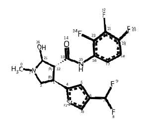 CN1C[C@H](c2cc(C(F)F)cs2)[C@@H](C(=O)Nc2ccc(F)c(F)c2F)C1O